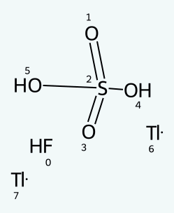 F.O=S(=O)(O)O.[Tl].[Tl]